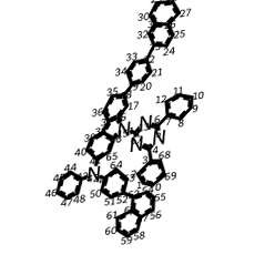 c1ccc(-c2nc(-c3ccccc3)nc(-n3c4cc(-c5ccc(-c6ccc7ccccc7c6)cc5)ccc4c4ccc(N(c5ccccc5)c5ccc(-c6cccc7ccccc67)cc5)cc43)n2)cc1